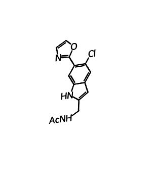 CC(=O)NCc1cc2cc(Cl)c(-c3ncco3)cc2[nH]1